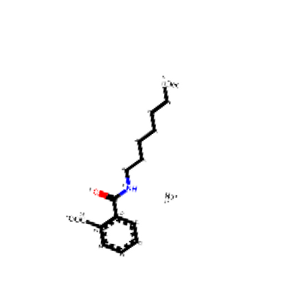 CCCCCCCCCCCCCCCCNC(=O)c1ccccc1C(=O)[O-].[Na+]